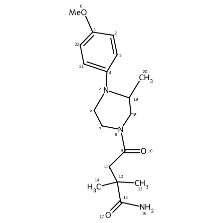 COc1ccc(N2CCN(C(=O)[CH]C(C)(C)C(N)=O)CC2C)cc1